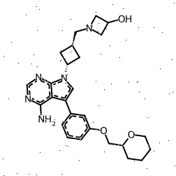 Nc1ncnc2c1c(-c1cccc(OCC3CCCCO3)c1)cn2[C@H]1C[C@H](CN2CC(O)C2)C1